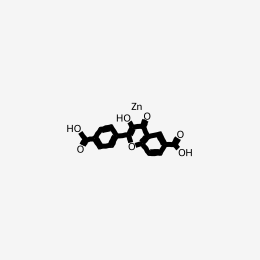 O=C(O)c1ccc(-c2oc3ccc(C(=O)O)cc3c(=O)c2O)cc1.[Zn]